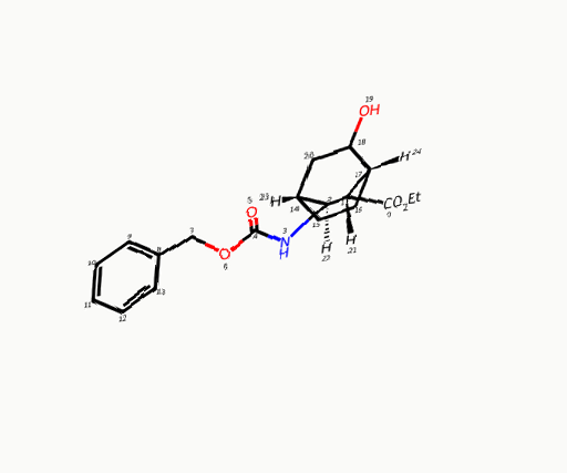 CCOC(=O)[C@@H]1[C@@H](NC(=O)OCc2ccccc2)[C@@H]2CC[C@H]1C(O)C2